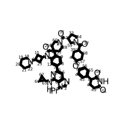 CC(C)n1cnc2cc(-c3ccc4c(c3)N(C3CC(N5CCCCC5)C3)C(=O)C43CCN(C(=O)[C@@H]4CCN(C(=O)C5CCC(Oc6ccc(C7CCC(=O)NC7=O)cc6)CC5)C4)CC3)nc(NC3CC3)c21